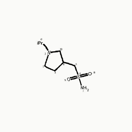 CC(C)N1CCC(CS(N)(=O)=O)C1